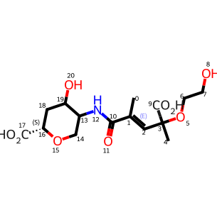 C/C(=C\C(C)(OCCO)C(=O)O)C(=O)NC1CO[C@H](C(=O)O)CC1O